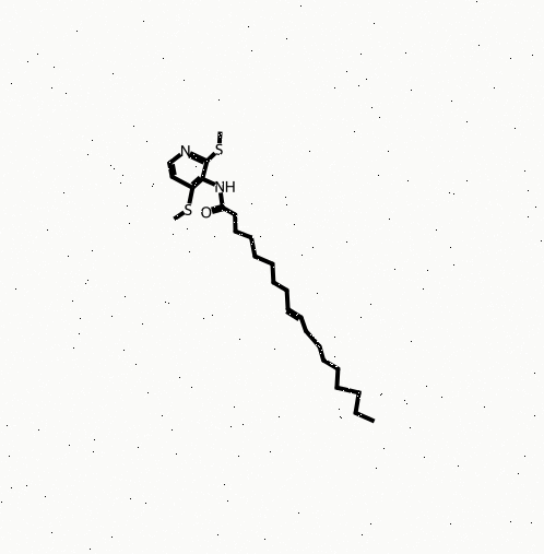 CCCCCCCCC=CCCCCCCCC(=O)Nc1c(SC)ccnc1SC